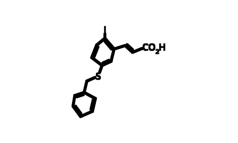 O=C(O)/C=C/c1cc(SCc2ccccc2)ccc1I